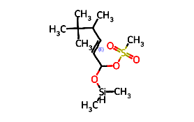 CC(/C=C/C(O[SiH](C)C)OS(C)(=O)=O)C(C)(C)C